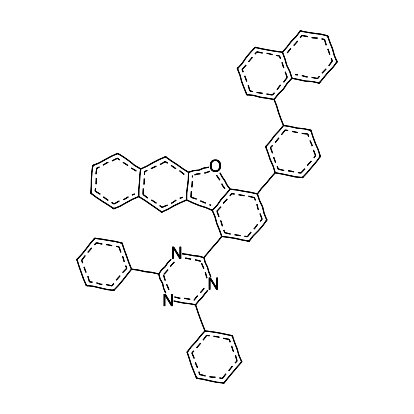 c1ccc(-c2nc(-c3ccccc3)nc(-c3ccc(-c4cccc(-c5cccc6ccccc56)c4)c4oc5cc6ccccc6cc5c34)n2)cc1